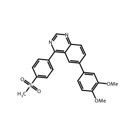 COc1ccc(-c2ccc3ncnc(-c4ccc(S(C)(=O)=O)cc4)c3c2)cc1OC